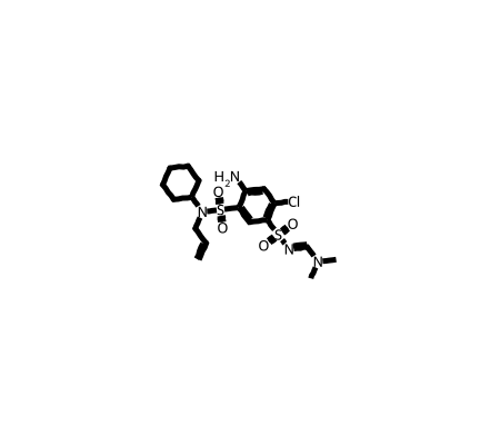 C=CCN(C1CCCCC1)S(=O)(=O)c1cc(S(=O)(=O)N=CN(C)C)c(Cl)cc1N